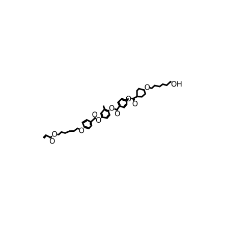 C=CC(=O)OCCCCCCOc1ccc(C(=O)Oc2ccc(OC(=O)c3ccc(OC(=O)C4CCC(OCCCCCCO)CC4)cc3)c(C)c2)cc1